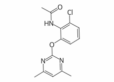 CC(=O)Nc1c(Cl)cccc1Oc1nc(C)cc(C)n1